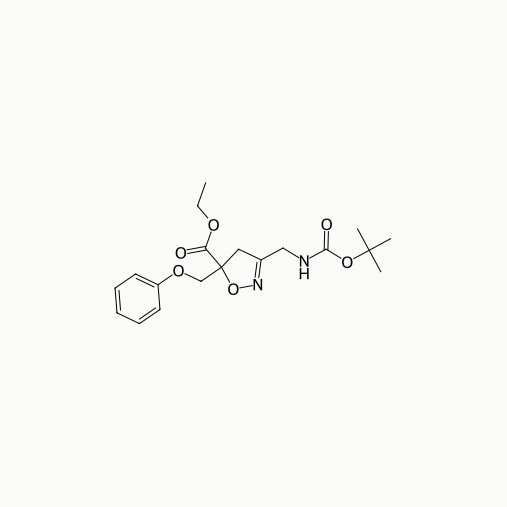 CCOC(=O)C1(COc2ccccc2)CC(CNC(=O)OC(C)(C)C)=NO1